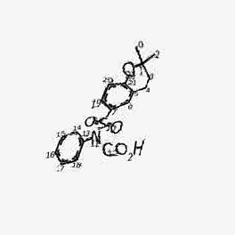 CC1(C)CCc2cc(S(=O)(=O)N(C(=O)O)c3ccccc3)ccc2O1